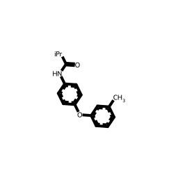 Cc1cccc(Oc2ccc(NC(=O)C(C)C)cc2)c1